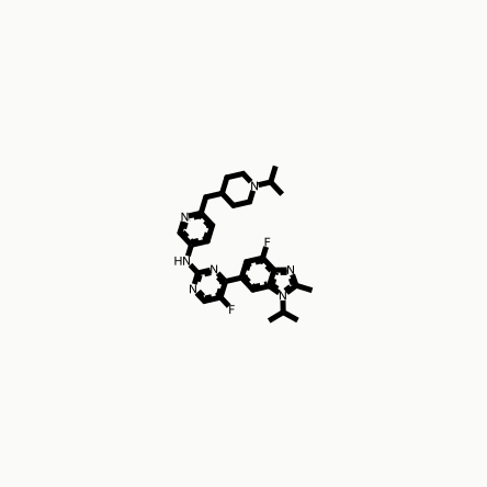 Cc1nc2c(F)cc(-c3nc(Nc4ccc(CC5CCN(C(C)C)CC5)nc4)ncc3F)cc2n1C(C)C